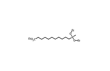 CCOC(=O)CCCCCCCCCC[Si](C)(OCC)OCC